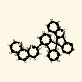 c1ccc2c(c1)-c1sc3ccccc3c1C21c2ccccc2-c2c(-c3ccc4ccc5cccnc5c4n3)cccc21